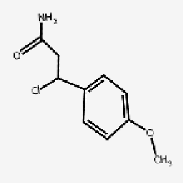 COc1ccc(C(Cl)CC(N)=O)cc1